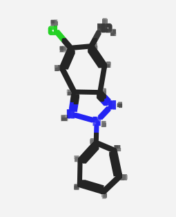 O=[N+]([O-])c1cc2nn(-c3ccccc3)nc2cc1Cl